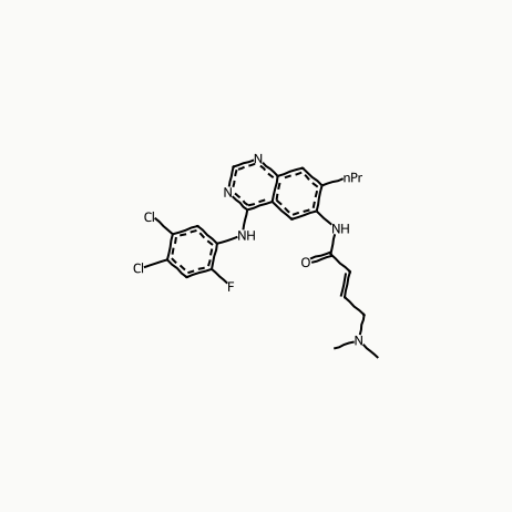 CCCc1cc2ncnc(Nc3cc(Cl)c(Cl)cc3F)c2cc1NC(=O)/C=C/CN(C)C